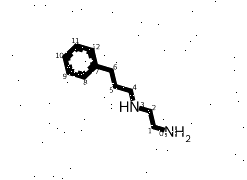 NCCNCCCc1ccccc1